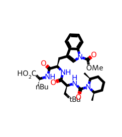 CCCC[C@@H](NC(=O)[C@@H](Cc1cn(C(=O)OC)c2ccccc12)NC(=O)[C@H](CC(C)(C)C)NC(=O)N1[C@H](C)CCC[C@@H]1C)C(=O)O